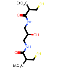 CCOC(=O)C(CS)C(=O)NCC(O)CNC(=O)C(CS)C(=O)OCC